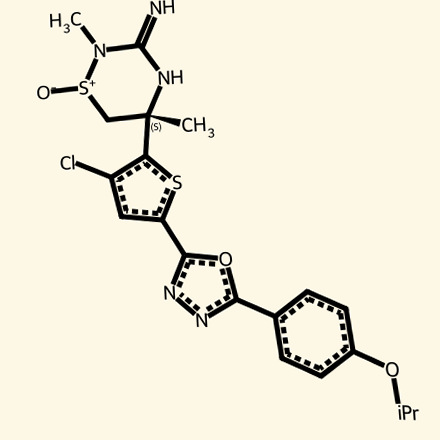 CC(C)Oc1ccc(-c2nnc(-c3cc(Cl)c([C@]4(C)C[S+]([O-])N(C)C(=N)N4)s3)o2)cc1